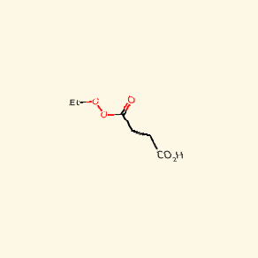 CCOOC(=O)CCC(=O)O